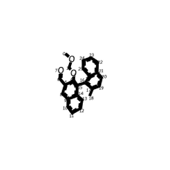 COCOc1c(C=O)cc2ccccc2c1-c1c(C)ccc2ccccc12